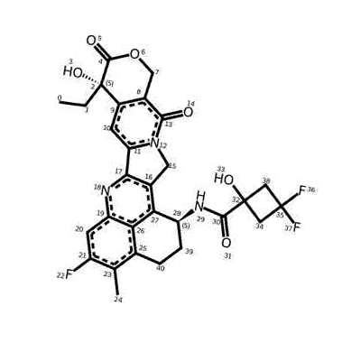 CC[C@@]1(O)C(=O)OCc2c1cc1n(c2=O)Cc2c-1nc1cc(F)c(C)c3c1c2[C@@H](NC(=O)C1(O)CC(F)(F)C1)CC3